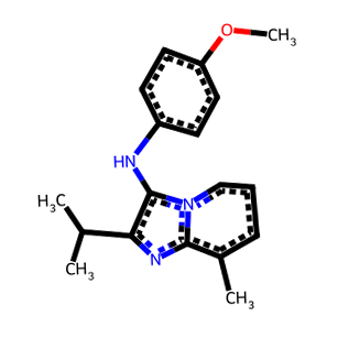 COc1ccc(Nc2c(C(C)C)nc3c(C)cccn23)cc1